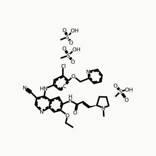 CCOc1cc2ncc(C#N)c(Nc3ccc(OCc4ccccn4)c(Cl)c3)c2cc1NC(=O)C=C[C@H]1CCCN1C.CS(=O)(=O)O.CS(=O)(=O)O.CS(=O)(=O)O